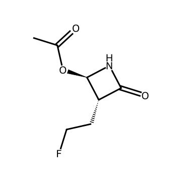 CC(=O)O[C@H]1NC(=O)[C@@H]1CCF